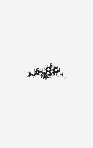 Cc1ncc(Br)cc1O[C@@H](C)c1cc(F)ccc1-c1ncnn1Cc1cc(CC2CC2)no1